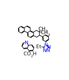 CCc1nnnn1-c1cccc(C2Cc3ccc4c(ccc5ccccc54)c3CC2(C)C)c1.O=C(O)c1ccc2ncccc2c1